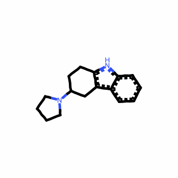 c1ccc2c3c([nH]c2c1)CCC(N1CCCC1)C3